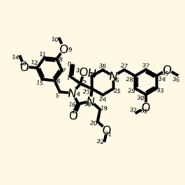 C=CC1(O)N(Cc2cc(OC)cc(OC)c2)C(=O)N(CCOC)C12CCN(Cc1cc(OC)cc(OC)c1)CC2